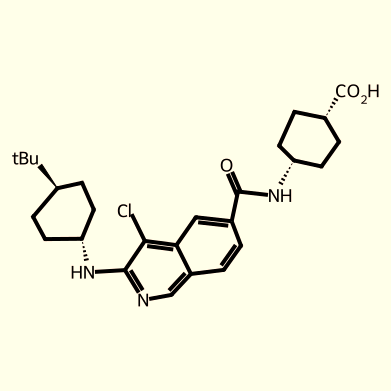 CC(C)(C)[C@H]1CC[C@H](Nc2ncc3ccc(C(=O)N[C@H]4CC[C@@H](C(=O)O)CC4)cc3c2Cl)CC1